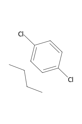 CCCC.Clc1ccc(Cl)cc1